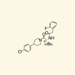 CC[C@@H](C)[C@@H](NC(=O)Cc1ccccc1F)C(=O)N1CCC(c2ccc(Cl)cc2)CC1